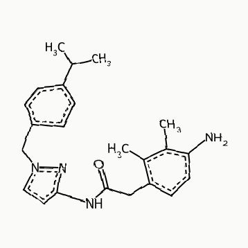 Cc1c(N)ccc(CC(=O)Nc2ccn(Cc3ccc(C(C)C)cc3)n2)c1C